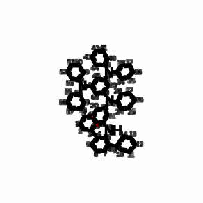 c1ccc(-c2cccc(-c3ccccc3)c2Nc2cccc(N(c3ccccc3)c3cc(N(c4ccccc4)c4ccccc4)cc(N(c4ccccc4)c4ccccc4)c3)c2)cc1